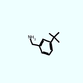 CC(C)(C)c1cc[c]c(CN)c1